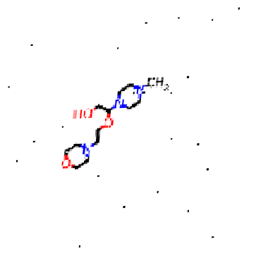 CN1CCN(C(CO)OCCN2CCOCC2)CC1